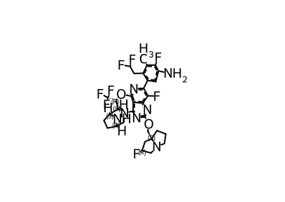 Cc1c(F)c(N)cc(-c2nc3c4c(nc(OC[C@@]56CCCN5C[C@H](F)C6)nc4c2F)N2C[C@H]4CC[C@H](N4)[C@H]2[C@H](C(F)(F)F)O3)c1CC(F)F